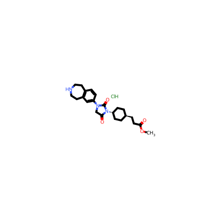 COC(=O)CC[C@H]1CC[C@H](N2C(=O)CN(c3ccc4c(c3)CCNCC4)C2=O)CC1.Cl